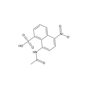 CC(=O)Nc1ccc([N+](=O)[O-])c2cccc(S(=O)(=O)O)c12